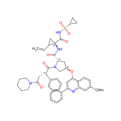 C=CC1C[C@]1(NC(=O)[C@@H]1C[C@@H](Oc2cc(-c3ccccc3)nc3cc(OC)ccc23)CN1C(=O)[C@@H](CC(=O)N1CCCCC1)c1ccccc1)C(=O)NS(=O)(=O)C1CC1